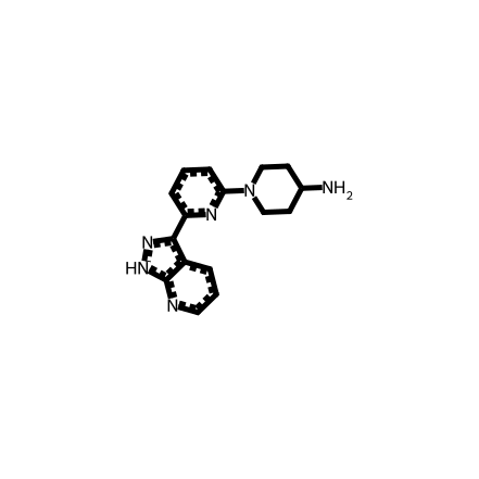 NC1CCN(c2cccc(-c3n[nH]c4ncccc34)n2)CC1